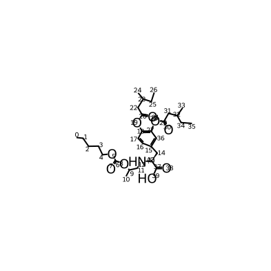 CCCCCOC(=O)OC(C)CN[C@@H](Cc1ccc(OC(=O)CC(C)CC)c(OC(=O)CC(C)CC)c1)C(=O)O